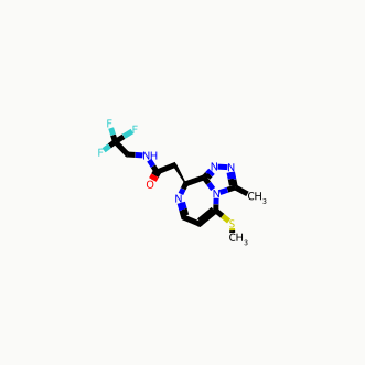 CSC1=CC=N[C@@H](CC(=O)NCC(F)(F)F)c2nnc(C)n21